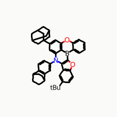 CC(C)(C)c1ccc2oc3c(c2c1)N(c1ccc2c(c1)C1CCC2CC1)c1cc(C24CC5CC(CC(C5)C2)C4)cc2c1B3c1ccccc1O2